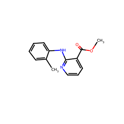 COC(=O)c1cccnc1Nc1ccccc1C